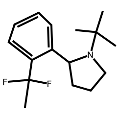 CC(F)(F)c1ccccc1C1CCCN1C(C)(C)C